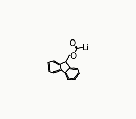 [Li][C](=O)OCC1c2ccccc2-c2ccccc21